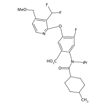 COCc1ccnc(Oc2cc(C(=O)O)c(N(C(=O)C3CCC(C)CC3)C(C)C)cc2F)c1C(F)F